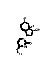 O=c1[nH]/c(=N\O)ccn1[C@H]1C[C@H](O)[C@H]2C[C@H](O)CC=C21